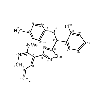 C=C/C=C(\C(=N/C)NC)c1noc(C(Oc2ccc(C)cc2)c2ccccc2Cl)n1